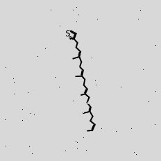 C/C=C\CC/C(C)=C/CC/C(C)=C/CC/C(C)=C/CC/C(C)=C/CCc1ccsc1